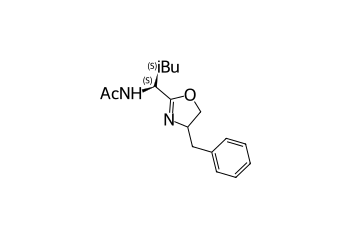 CC[C@H](C)[C@H](NC(C)=O)C1=NC(Cc2ccccc2)CO1